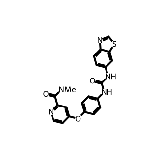 CNC(=O)c1cc(Oc2ccc(NC(=O)Nc3ccc4ncsc4c3)cc2)ccn1